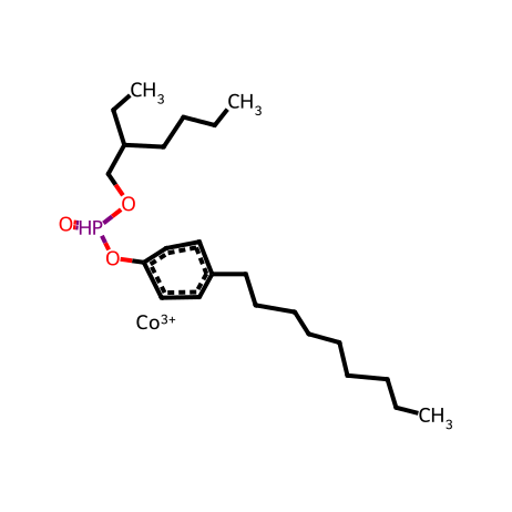 CCCCCCCCCc1ccc(O[PH](=O)OCC(CC)CCCC)cc1.[Co+3]